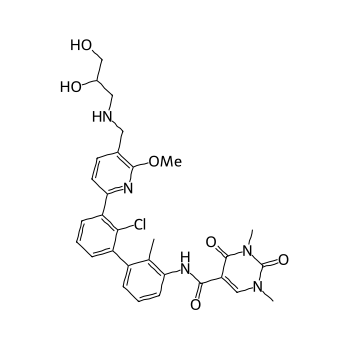 COc1nc(-c2cccc(-c3cccc(NC(=O)c4cn(C)c(=O)n(C)c4=O)c3C)c2Cl)ccc1CNCC(O)CO